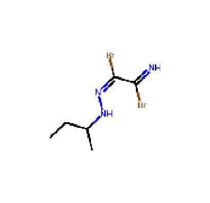 CCC(C)N/N=C(/Br)C(=N)Br